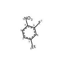 [CH2]Cc1ccc([N+](=O)[O-])c(F)c1